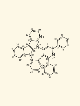 c1ccc(-c2cc(-n3c4ncccc4c4c5ccccc5n(-c5ccccc5)c43)cc(-c3ccccc3)n2)cc1